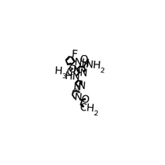 C=CC(=O)N1CCC[C@@H](n2cc(Nc3ncc(C(N)=O)c(Nc4c(F)cccc4OC)n3)cn2)C1